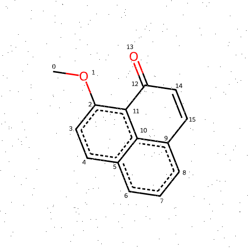 COc1ccc2cccc3c2c1C(=O)C=C3